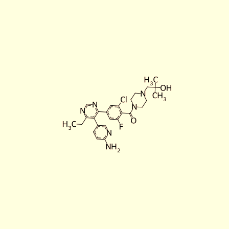 CCc1ncnc(-c2cc(F)c(C(=O)N3CCN(CC(C)(C)O)CC3)c(Cl)c2)c1-c1ccc(N)nc1